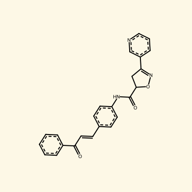 O=C(/C=C/c1ccc(NC(=O)C2CC(c3cccnc3)=NO2)cc1)c1ccccc1